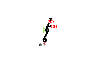 C=C(C)C(=O)OCCC(CCO)Cc1ccc(CCCCc2ccc(OCCCC)cc2)c(F)c1F